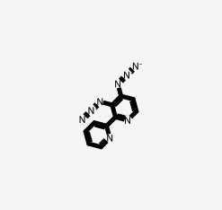 [N-]=[N+]=Nc1ccnc(-c2ccccn2)c1N=[N+]=[N-]